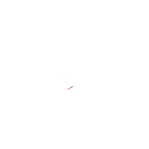 CCO.Cl.N.N